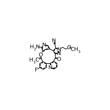 COCCn1nc2c(c1C#N)-c1cnc(N)c(c1)O[C@H](C)c1cc(F)ccc1-c1ncccc1C2=O